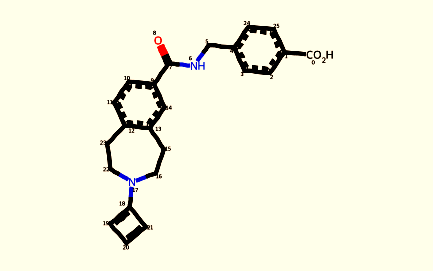 O=C(O)c1ccc(CNC(=O)c2ccc3c(c2)CCN(C2=CC=C2)CC3)cc1